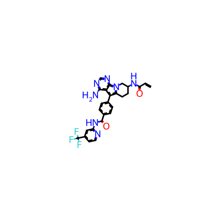 C=CC(=O)NC1CCc2c(-c3ccc(C(=O)Nc4cc(C(F)(F)F)ccn4)cc3)c3c(N)ncnc3n2C1